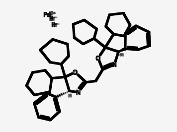 [Br-].[Br-].[Pd+2].c1ccc([C@H]2N=C(CC3=N[C@H](c4ccccc4)C(C4CCCCC4)(C4CCCCC4)O3)OC2(C2CCCCC2)C2CCCCC2)cc1